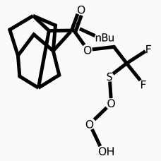 CCCCOC12CC3CC(C1)C(C(=O)OCC(F)(F)SOOO)C(C3)C2